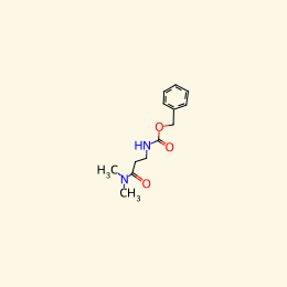 CN(C)C(=O)CCNC(=O)OCc1ccccc1